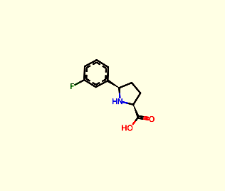 O=C(O)[C@@H]1CC[C@H](c2cccc(F)c2)N1